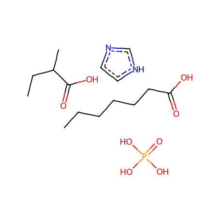 CCC(C)C(=O)O.CCCCCCC(=O)O.O=P(O)(O)O.c1c[nH]cn1